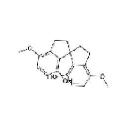 COc1ccc(O)c2c1CCC21CCc2c(OC)ccc(O)c21